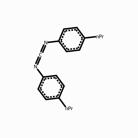 CCCc1ccc(N=C=Nc2ccc(CCC)cc2)cc1